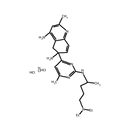 CCN(CC)CCCC(C)Nc1nc(C)cc(C2(N)C=Cc3nc(C)cc(N)c3C2)n1.Cl.Cl.Cl